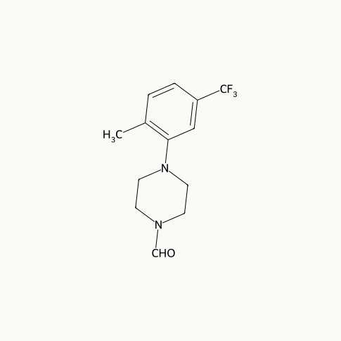 Cc1ccc(C(F)(F)F)cc1N1CCN(C=O)CC1